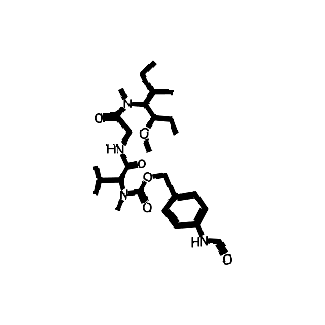 CCC(C)C(C(CC)OC)N(C)C(=O)CNC(=O)C(C(C)C)N(C)C(=O)OCc1ccc(NC=O)cc1